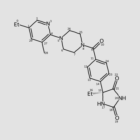 CCc1cnc(N2CCN(C(=O)c3ccc([C@]4(CC)NC(=O)NC4=O)cc3)CC2)c(C)c1